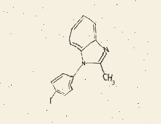 Cc1nc2ccccc2n1-c1ccc(I)cc1